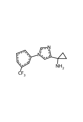 NC1(c2cn(-c3cccc(C(F)(F)F)c3)cn2)CC1